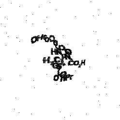 CCCOC(=O)CC[S+]([O-])C=C(C)C1C(NC(=O)COc2cccc(OC=O)c2)C(=O)N1CC(=O)O